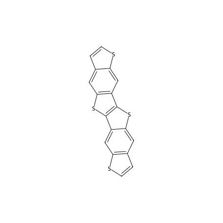 c1cc2cc3sc4c5cc6sccc6cc5sc4c3cc2s1